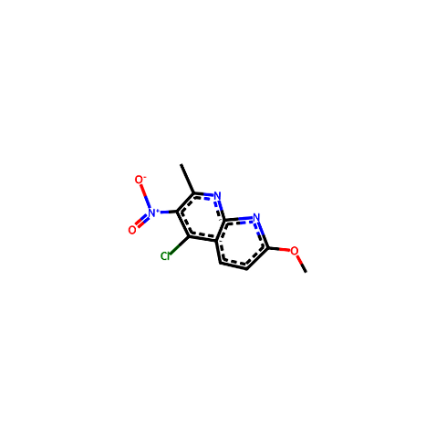 COc1ccc2c(Cl)c([N+](=O)[O-])c(C)nc2n1